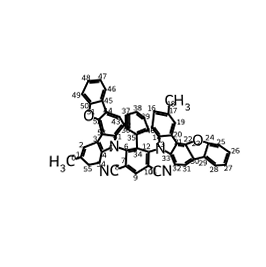 CC1=Cc2c(n(-c3c(C#N)cc(C#N)c(-n4c5ccc(C)cc5c5c6oc7ccccc7c6ccc54)c3-c3c#cccc3)c3ccc4c5ccccc5oc4c23)CC1